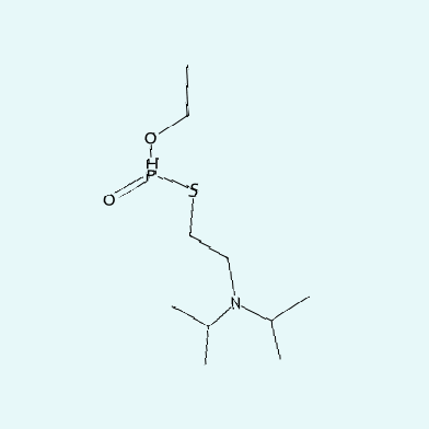 CCO[PH](=O)SCCN(C(C)C)C(C)C